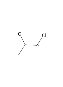 CC([O])[CH]Cl